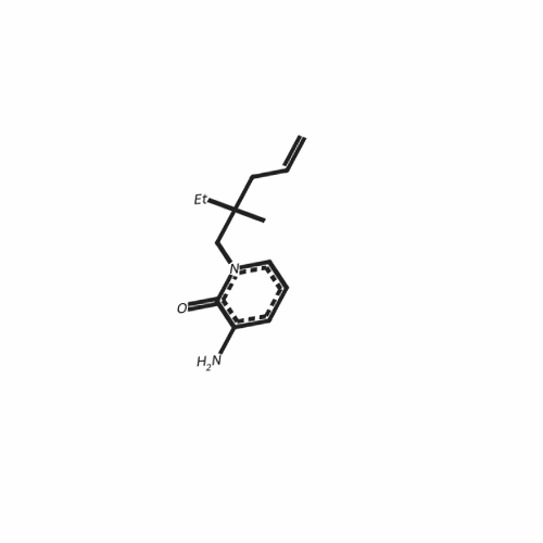 C=CCC(C)(CC)Cn1cccc(N)c1=O